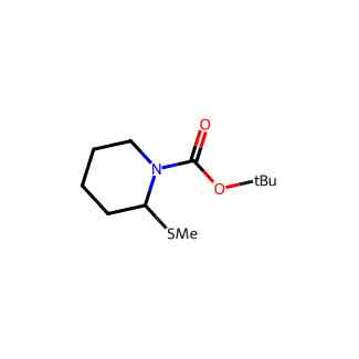 CSC1CCCCN1C(=O)OC(C)(C)C